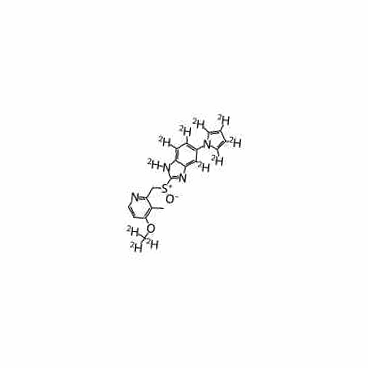 [2H]c1c(-n2c([2H])c([2H])c([2H])c2[2H])c([2H])c2nc([S+]([O-])Cc3nccc(OC([2H])([2H])[2H])c3C)n([2H])c2c1[2H]